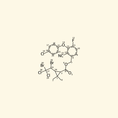 CC1(C)C(C(=O)OCc2ccc(F)c(Oc3ccc(Cl)cc3)c2C#N)C1C(Br)C(Cl)(Cl)Br